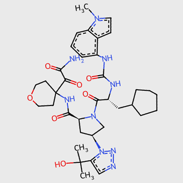 Cn1ccc2c(NC(=O)N[C@H](CC3CCCCC3)C(=O)N3C[C@@H](n4nncc4C(C)(C)O)C[C@H]3C(=O)NC3(C(=O)C(N)=O)CCOCC3)cccc21